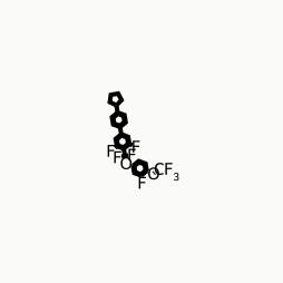 Fc1cc(OC(F)(F)c2c(F)cc(-c3ccc(C4CCCC4)cc3)cc2F)ccc1OC(F)(F)F